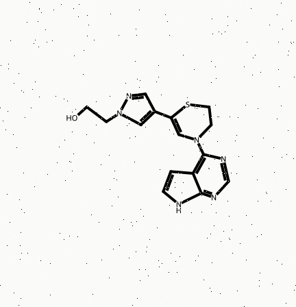 OCCn1cc(C2=CN(c3ncnc4[nH]ccc34)CCS2)cn1